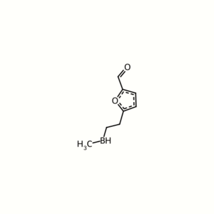 CBCCc1ccc(C=O)o1